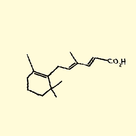 CC1=C(C/C=C(C)/C=C/C(=O)O)C(C)(C)CCC1